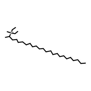 CCCCCCCCCCCCCCCCCCCCCCC(C)[N+](C)(CC)CC